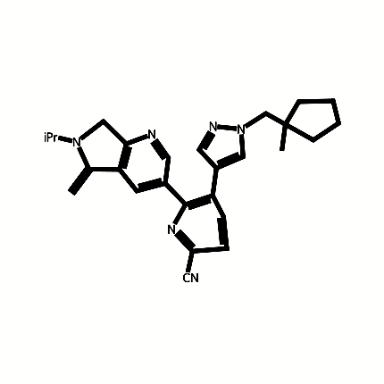 C=C1c2cc(-c3nc(C#N)ccc3-c3cnn(CC4(C)CCCC4)c3)cnc2CN1C(C)C